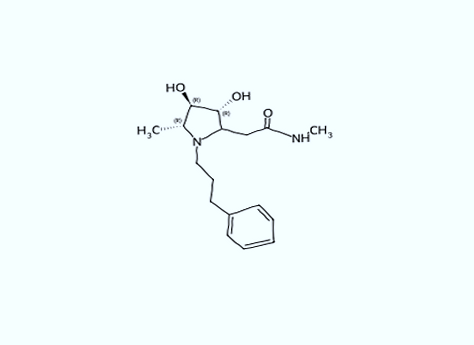 CNC(=O)CC1[C@@H](O)[C@H](O)[C@@H](C)N1CCCc1ccccc1